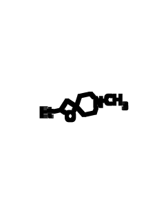 CCC1CC2(CCN(C)CC2)O1